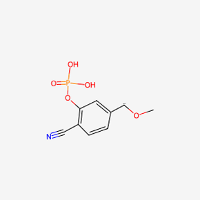 CO[C]c1ccc(C#N)c(OP(=O)(O)O)c1